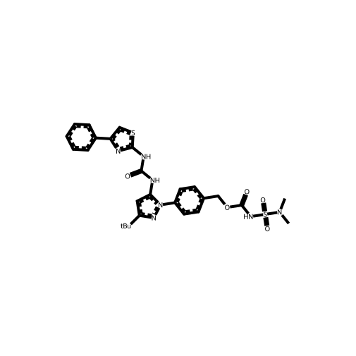 CN(C)S(=O)(=O)NC(=O)OCc1ccc(-n2nc(C(C)(C)C)cc2NC(=O)Nc2nc(-c3ccccc3)cs2)cc1